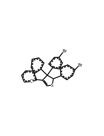 Brc1ccc(C2SC=C(c3ccccc3)C2(c2ccccc2)c2ccc(Br)cc2)cc1